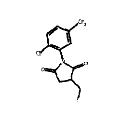 O=C1CC(CI)C(=O)N1c1cc(C(F)(F)F)ccc1Cl